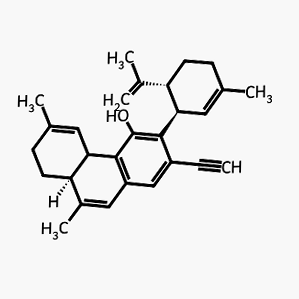 C#Cc1cc2c(c(O)c1[C@@H]1C=C(C)CC[C@H]1C(=C)C)C1C=C(C)CC[C@@H]1C(C)=C2